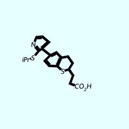 CC(C)Sc1ncccc1-c1ccc2c(c1)CCC(CCC(=O)O)S2